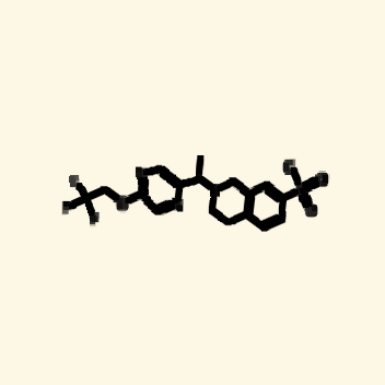 CC(c1cnc(OCC(F)(F)F)cn1)N1CCc2ccc(S(=O)(=O)Cl)cc2C1